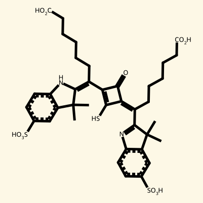 CC1(C)C(C(CCCCCC(=O)O)=C2C(=O)C(C(CCCCCC(=O)O)=C3Nc4ccc(S(=O)(=O)O)cc4C3(C)C)=C2S)=Nc2ccc(S(=O)(=O)O)cc21